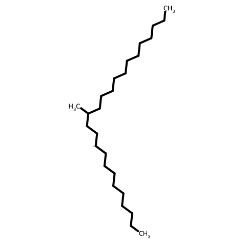 CCCCCCCCC[CH]CCC(C)CCCCCCCCCCCC